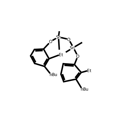 CCCCc1cccc([O][Sn]([CH3])([CH3])[O][Sn]([CH3])([CH3])[O]c2cccc(CCCC)c2CC)c1CC